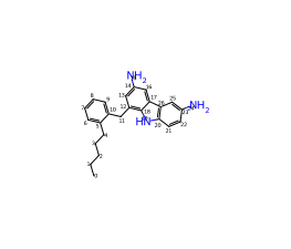 CCCCCc1ccccc1Cc1cc(N)cc2c1[nH]c1ccc(N)cc12